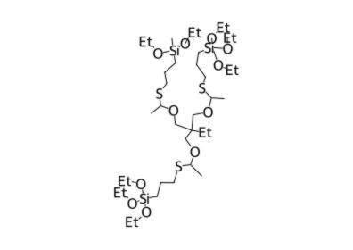 CCO[Si](C)(CCCSC(C)OCC(CC)(COC(C)SCCC[Si](OCC)(OCC)OCC)COC(C)SCCC[Si](OCC)(OCC)OCC)OCC